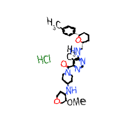 CO[C@H]1COCC[C@H]1NC1CCN(C(=O)c2ncnc(NC[C@H]3CCC[C@@H](c4ccc(C)cc4)O3)c2C)CC1.Cl